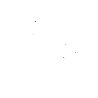 c1ccc(-c2nc(-c3ccccc3)nc(-c3cc(-c4ccc5c6ccccc6c6ccccc6c5c4)cc(-c4nc(-c5ccccc5)nc(-c5ccccc5)n4)c3)n2)cc1